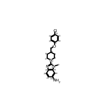 Cn1c(N2CCC(COc3ccc(Cl)cc3)CC2)nc2ccc(N)cc21